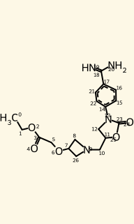 CCOC(=O)COC1CN(CC2CN(c3ccc(C(=N)N)cc3)C(=O)O2)C1